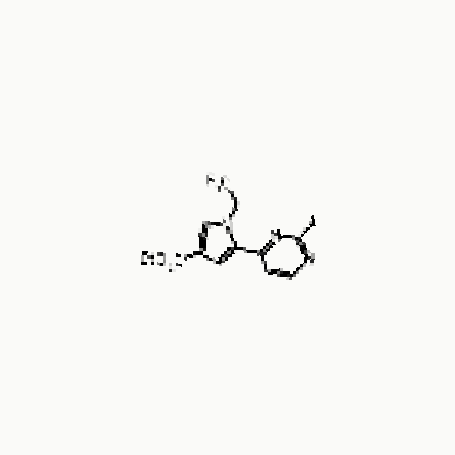 CCOC(=O)c1cc(-c2ccnc(I)n2)n(CC(F)(F)F)c1